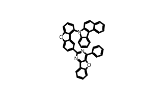 c1ccc(-c2nc(-c3ccc4oc5cccc(-n6c7ccccc7c7c8ccccc8ccc76)c5c4c3)nc3c2oc2ccccc23)cc1